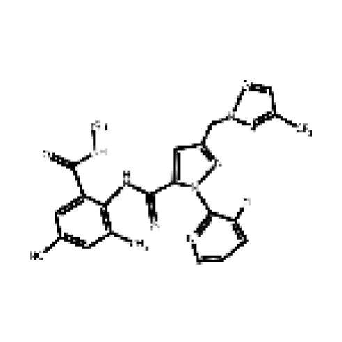 Cc1cc(C#N)cc(C(=O)NC(C)(C)C)c1NC(=O)c1cc(Cn2ncc(C(F)(F)F)n2)nn1-c1ncccc1Cl